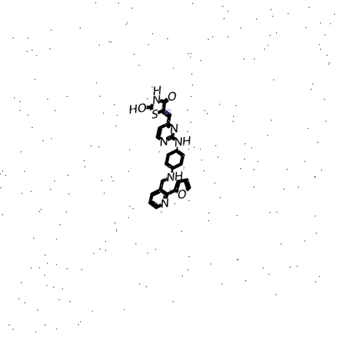 O=C1NC(O)S/C1=C\c1ccnc(N[C@H]2CC[C@H](NCc3cccnc3-c3ccco3)CC2)n1